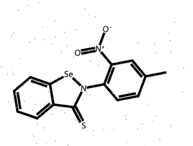 Cc1ccc(-n2[se]c3ccccc3c2=S)c([N+](=O)[O-])c1